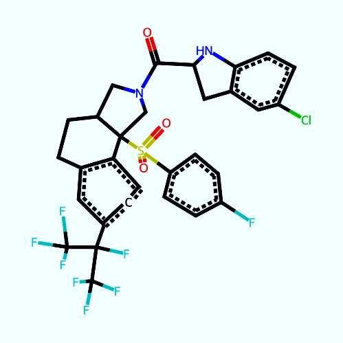 O=C(C1Cc2cc(Cl)ccc2N1)N1CC2CCc3cc(C(F)(C(F)(F)F)C(F)(F)F)ccc3C2(S(=O)(=O)c2ccc(F)cc2)C1